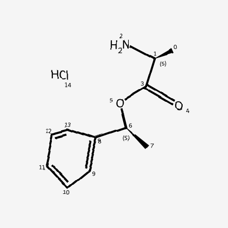 C[C@H](N)C(=O)O[C@@H](C)c1ccccc1.Cl